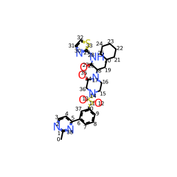 Cc1nccc(-c2cccc(S(=O)(=O)N3CCN(C(CC4CCCCC4)C(=O)Nc4nccs4)C(=O)C3)c2)n1